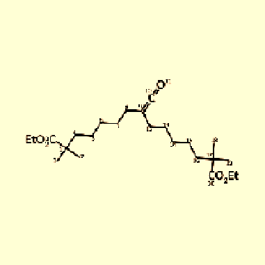 CCOC(=O)C(C)(C)CCCCCC(=C=O)CCCCCC(C)(C)C(=O)OCC